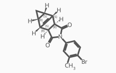 Cc1cc(N2C(=O)[C@@H]3[C@@H]4C=C[C@@H]([C@@H]5C[C@H]45)[C@@H]3C2=O)ccc1Br